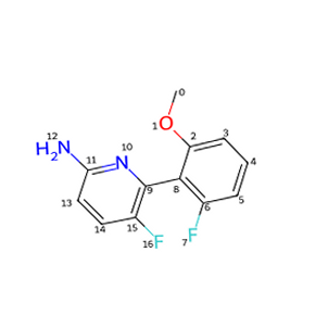 COc1cccc(F)c1-c1nc(N)ccc1F